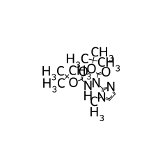 Cn1ccnc1N(NC(=O)OC(C)(C)C)C(=O)OC(C)(C)C